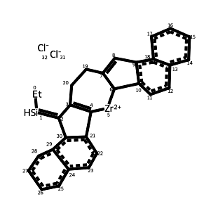 CC[SiH]=C1C2=[C]([Zr+2][CH]3C(=Cc4c3ccc3ccccc43)CC2)c2ccc3ccccc3c21.[Cl-].[Cl-]